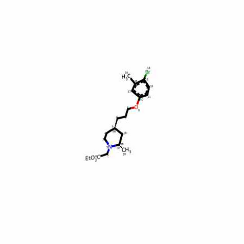 CCOC(=O)CN1CC[C@@H](CCCOc2ccc(Br)c(C)c2)C[C@@H]1C